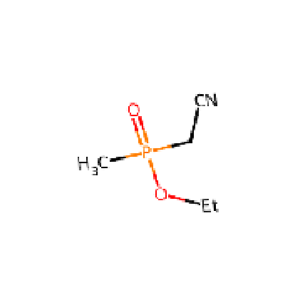 CCOP(C)(=O)CC#N